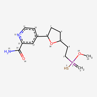 C=P(S)(CCC1CCC(c2ccnc(C(N)=O)c2)O1)OC